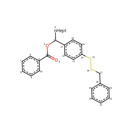 CCCCCCCC(OC(=O)c1ccccc1)c1ccc(SSCc2ccccc2)cc1